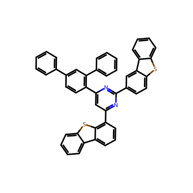 c1ccc(-c2ccc(-c3cc(-c4cccc5c4sc4ccccc45)nc(-c4ccc5sc6ccccc6c5c4)n3)c(-c3ccccc3)c2)cc1